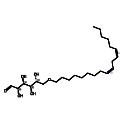 CCCCC/C=C\C/C=C\CCCCCCCCOC[C@@H](O)[C@@H](O)[C@H](O)[C@@H](O)C=O